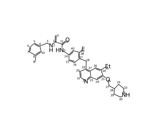 C=C(NCc1cccc(C)c1)C(=O)Nc1ccc(Cc2ccnc3cc(OCC4CCNCC4)c(CC)cc23)c(F)c1